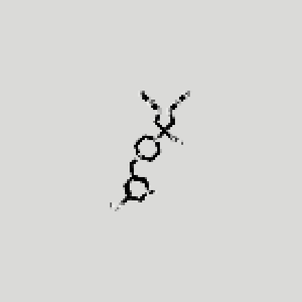 CC1=CC(CN2CCN(C(C)(CN=[N+]=[N-])CN=[N+]=[N-])CC2)=CNC1